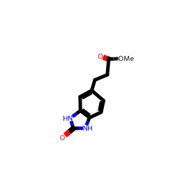 COC(=O)CCc1ccc2[nH]c(=O)[nH]c2c1